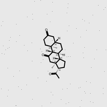 CC(=O)[C@H]1CC[C@H]2[C@@H]3CC[C@H]4CC(=O)CC[C@]4(C)[C@H]3C(=O)C[C@]12C